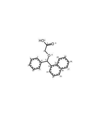 O=C(O)COC(c1ccccc1)c1cccc2ccccc12